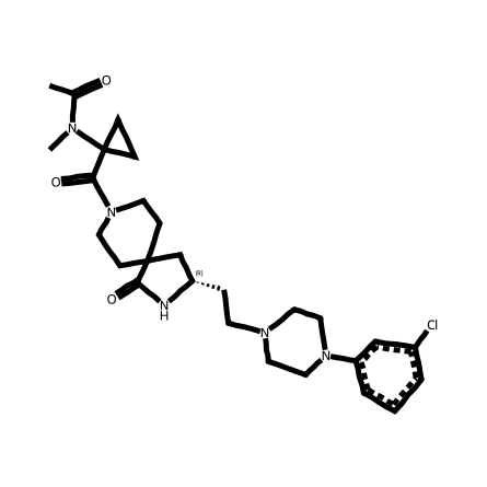 CC(=O)N(C)C1(C(=O)N2CCC3(CC2)C[C@H](CCN2CCN(c4cccc(Cl)c4)CC2)NC3=O)CC1